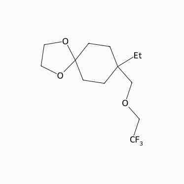 CCC1(COCC(F)(F)F)CCC2(CC1)OCCO2